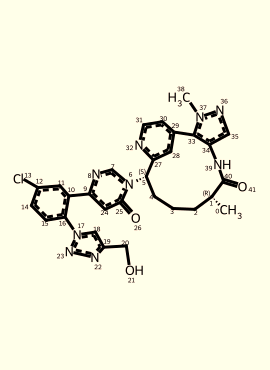 C[C@@H]1CCC[C@H](n2cnc(-c3cc(Cl)ccc3-n3cc(CO)nn3)cc2=O)c2cc(ccn2)-c2c(cnn2C)NC1=O